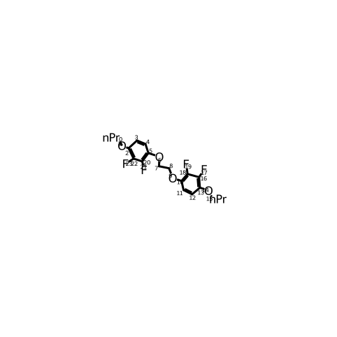 CCCOc1ccc(OCCOc2ccc(OCCC)c(F)c2F)c(F)c1F